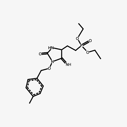 CCOP(=O)(CCC1NC(=O)N(OCc2ccc(C)cc2)C1=N)OCC